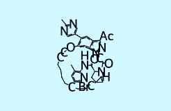 CC(=O)c1nn2c3cc(c(-c4cnc(C)nc4)cc13)OCCCCCCCCCC[C@@]13C[C@@H](C(=O)Nc4nc(Br)ccc4C)N(C(=O)C2)[C@@H]1C3